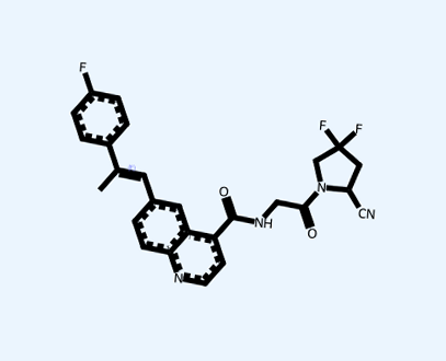 C/C(=C\c1ccc2nccc(C(=O)NCC(=O)N3CC(F)(F)CC3C#N)c2c1)c1ccc(F)cc1